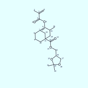 C=C(C)C(=O)OC1=C2CCCC(C(=O)OCC3COC(C)(C)O3)(C2)CC1C